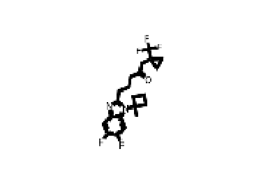 CC1(n2c(CCCC(=O)CC3(C(F)(F)F)CC3)nc3cc(F)c(F)cc32)CCC1